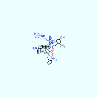 BC(B)(N)C(B)(B)C(B)(B)C(B)(B)C(NC(=O)[C@H](Cc1c(C)cc(O)cc1C)NC(=O)[C@H](N)CCCNC(=N)N)C(=O)N[C@@H](Cc1ccccc1)C(N)=O